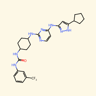 O=C(Nc1cccc(C(F)(F)F)c1)NC1CCC(Nc2nccc(Nc3cc(C4CCCC4)[nH]n3)n2)CC1